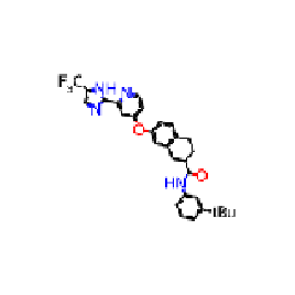 CC(C)(C)c1cccc(NC(=O)C2CCc3ccc(Oc4ccnc(-c5ncc(C(F)(F)F)[nH]5)c4)cc3C2)c1